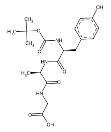 C[C@@H](NC(=O)[C@H](Cc1ccc(O)cc1)NC(=O)OC(C)(C)C)C(=O)NCC(=O)O